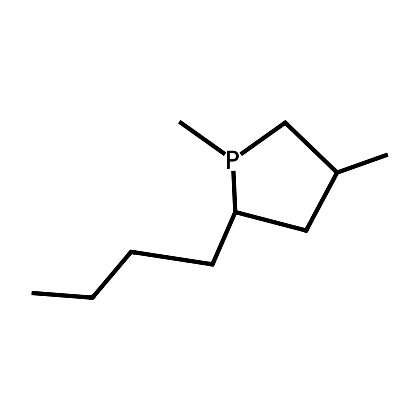 CCCCC1CC(C)CP1C